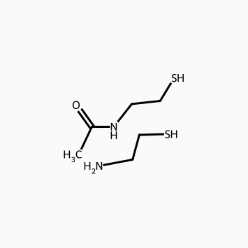 CC(=O)NCCS.NCCS